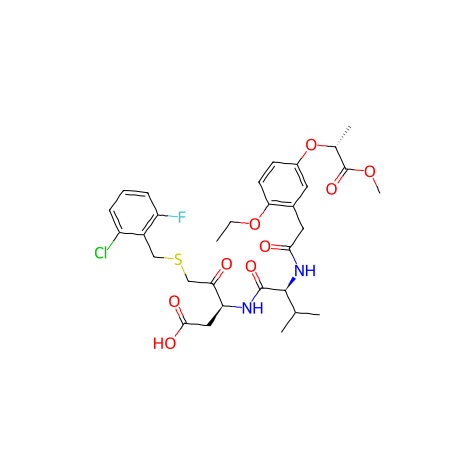 CCOc1ccc(O[C@H](C)C(=O)OC)cc1CC(=O)N[C@H](C(=O)N[C@@H](CC(=O)O)C(=O)CSCc1c(F)cccc1Cl)C(C)C